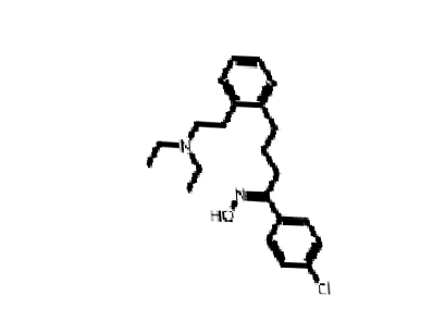 CCN(CC)CCc1ccccc1CCCC(=NO)c1ccc(Cl)cc1